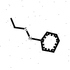 CCS[N]c1ccccc1